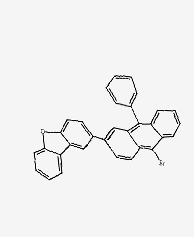 Brc1c2ccccc2c(-c2ccccc2)c2cc(-c3ccc4oc5ccccc5c4c3)ccc12